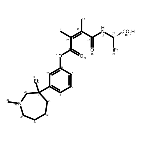 CCC1(c2cccc(OC(=O)/C(C)=C(/C)C(=O)N[C@H](C(=O)O)C(C)C)c2)CCCCN(C)C1